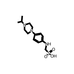 CC(C)N1CCN(c2ccc(N[CH]S(=O)(=O)O)cc2)CC1